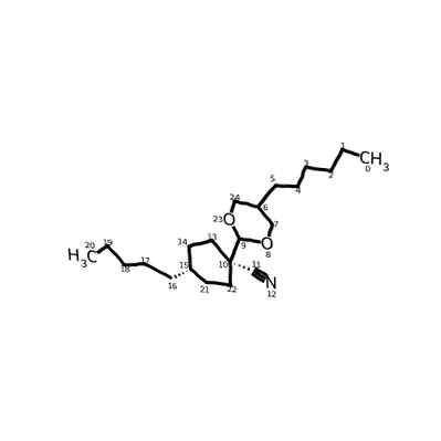 CCCCCCC1COC([C@]2(C#N)CC[C@@H](CCCCC)CC2)OC1